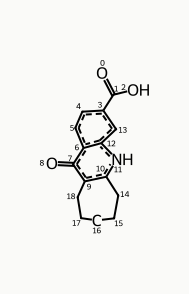 O=C(O)c1ccc2c(=O)c3c([nH]c2c1)CCCCC3